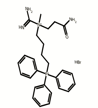 Br.C[N+](CCCC[P+](c1ccccc1)(c1ccccc1)c1ccccc1)(CCC(N)=O)C(=N)N